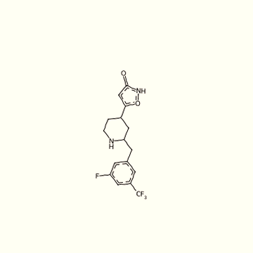 O=c1cc(C2CCNC(Cc3cc(F)cc(C(F)(F)F)c3)C2)o[nH]1